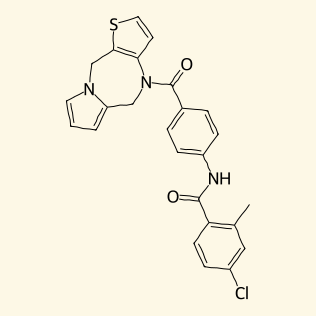 Cc1cc(Cl)ccc1C(=O)Nc1ccc(C(=O)N2Cc3cccn3Cc3sccc32)cc1